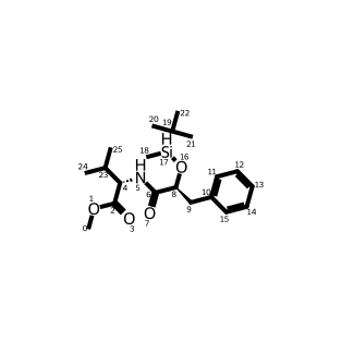 COC(=O)[C@@H](NC(=O)[C@H](Cc1ccccc1)O[SiH](C)C(C)(C)C)C(C)C